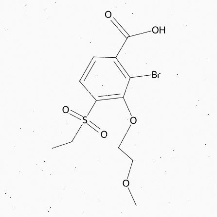 CCS(=O)(=O)c1ccc(C(=O)O)c(Br)c1OCCOC